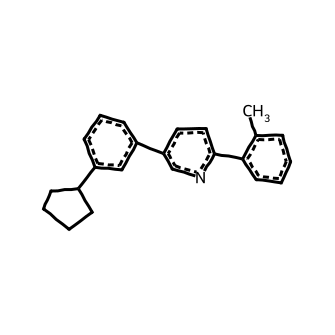 Cc1ccccc1-c1ccc(-c2cccc(C3CCCC3)c2)cn1